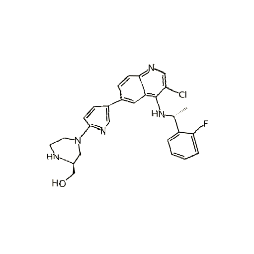 C[C@@H](Nc1c(Cl)cnc2ccc(-c3ccc(N4CCN[C@H](CO)C4)nc3)cc12)c1ccccc1F